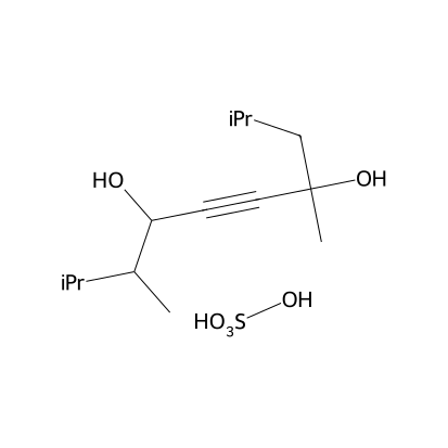 CC(C)CC(C)(O)C#CC(O)C(C)C(C)C.O=S(=O)(O)O